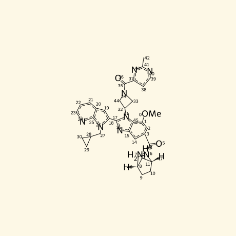 COc1cc(C(=O)N2C[C@H]3CC[C@@H]2[C@@H]3N)cc2nc(-c3cc4cccnc4n3CC3CC3)n(C3CN(C(=O)c4ccnc(C)n4)C3)c12